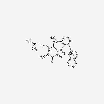 COC(=O)c1nn(-c2cccc3ccccc23)c(-c2c(OC)cccc2OC)c1C(=O)NCCCN(C)C